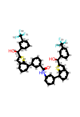 O=C(Nc1cccc(-c2cccc3cc(C(O)c4cccc(C(F)(F)F)c4)sc23)c1)c1cccc(-c2cccc3cc(C(O)c4cccc(C(F)(F)F)c4)sc23)c1